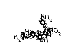 Cc1c(CNc2ncc([N+](=O)[O-])c(NC[C@H]3CC[C@H](CN)CC3)n2)cccc1-c1cccc(CNCC(N)=O)c1